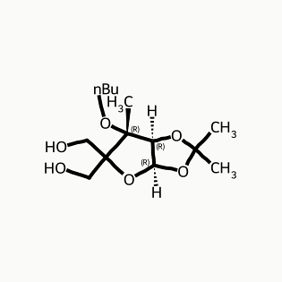 CCCCO[C@]1(C)[C@H]2OC(C)(C)O[C@H]2OC1(CO)CO